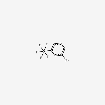 FS(F)(F)(F)(F)c1cccc(Br)c1